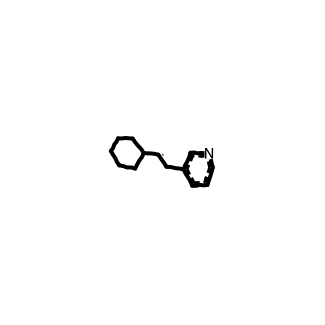 [CH](Cc1cccnc1)C1CCCCC1